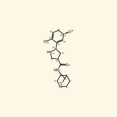 O=C(NC1CN2CCC1CC2)C1CNN(C2=C[C@H](Cl)CC=C2Cl)C1